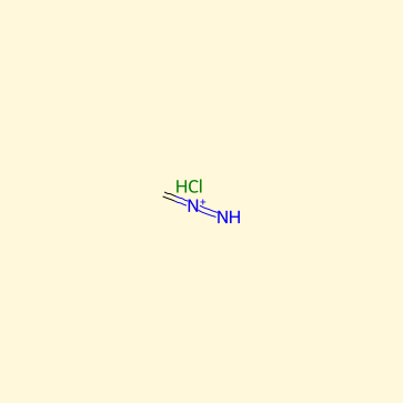 C=[N+]=N.Cl